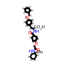 CC(C)(C)C1(NC(=O)COc2ccc(C(=O)NC(Cc3ccc(OCc4ccccc4)cc3)C(=O)O)cc2)CCCCC1